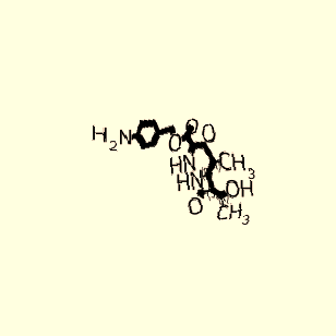 C[C@@H](O)[C@H]1C(=O)N[C@@H]1[C@@H](C)C(=O)C(=N)C(=O)OCc1ccc(N)cc1